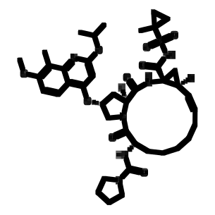 COc1ccc2c(O[C@@H]3C[C@H]4C(=O)N[C@]5(C(=O)NS(=O)(=O)C6(C)CC6)C[C@H]5/C=C\CCCCC[C@H](NC(=O)N5CCCC5)C(=O)N4C3)cc(OC(C)C)nc2c1C